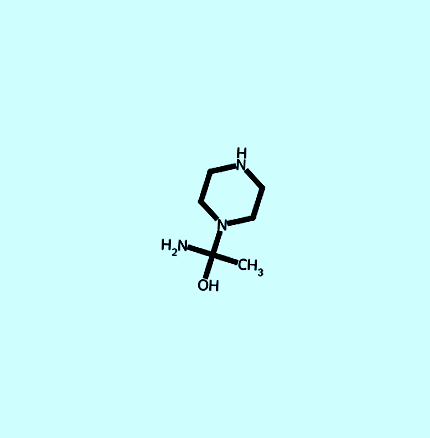 CC(N)(O)N1CCNCC1